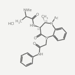 CNC(C)C(=O)N[C@@H]1C(=O)N(CC(=O)Nc2ccccc2)c2ccccc2N(C(C)=O)[C@H]1C.Cl